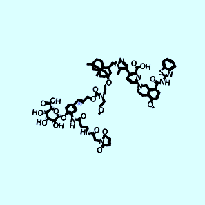 COCCN(CCOC12CC(Cn3ncc(-c4ccc(N5CCc6c(OC)ccc(C(=O)Nc7nc8ccccc8s7)c6C5)nc4C(=O)O)c3C)C3CCC(C)(C1)CC3(C)C2)C(=O)OC/C=C/c1ccc(O[C@@H]2O[C@H](C(=O)O)[C@@H](O)[C@H](O)[C@H]2O)c(NC(=O)CCNC(=O)CN2C(=O)C=CC2=O)c1